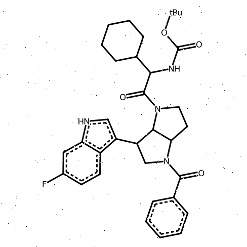 CC(C)(C)OC(=O)NC(C(=O)N1CCC2C1C(c1c[nH]c3cc(F)ccc13)CN2C(=O)c1ccccc1)C1CCCCC1